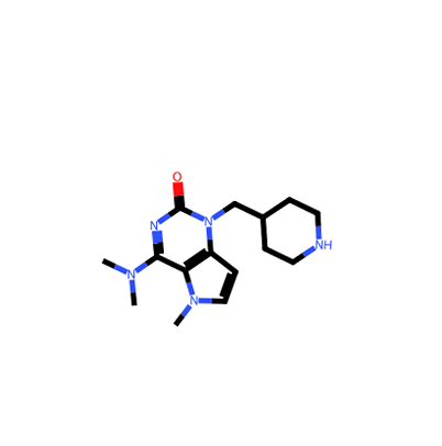 CN(C)c1nc(=O)n(CC2CCNCC2)c2ccn(C)c12